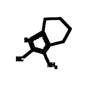 N#Cc1[se]c2c(c1N)CCCC2